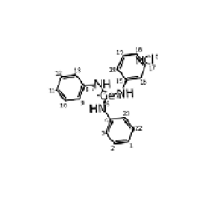 Cl.c1ccc([NH][Ge]([NH]c2ccccc2)[NH]c2ccccc2)cc1